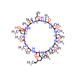 C=CC1C[C@@H](C)[C@H]([C@H]2C(=O)N[C@@H](CC)C(=O)N(C)CC(=O)N(C)[C@@H](CC(C)(C)O)C(=O)N[C@@H](C(C)C)C(=O)N(C)[C@@H](CCC(C)C)C(=O)N[C@@H](C)C(=O)N[C@H](C)C(=O)N(C)[C@@H](CC(C)C)C(=O)N(C)[C@@H](CC(C)C)C(=O)N(C)[C@@H](C(C)C)C(=O)N2C)O1